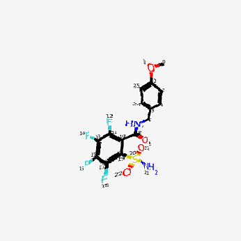 COc1ccc(CNC(=O)c2c(F)c(F)c(F)c(F)c2S(N)(=O)=O)cc1